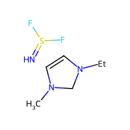 CCN1C=CN(C)C1.N=S(F)F